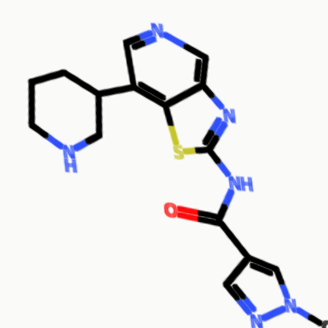 Cn1cc(C(=O)Nc2nc3cncc(C4CCCNC4)c3s2)cn1